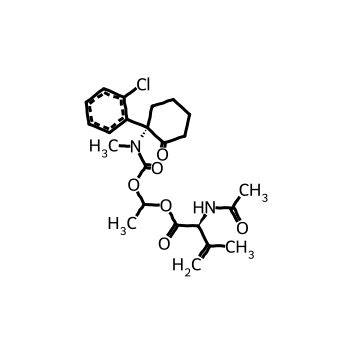 C=C(C)[C@H](NC(C)=O)C(=O)OC(C)OC(=O)N(C)[C@]1(c2ccccc2Cl)CCCCC1=O